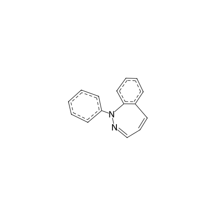 C1=Cc2ccccc2N(c2ccccc2)N=C1